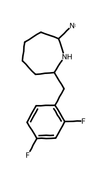 [N]C1CCCCC(Cc2ccc(F)cc2F)N1